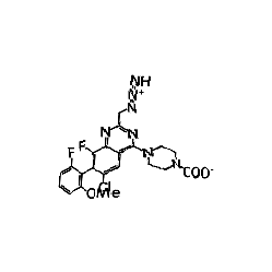 COc1cccc(F)c1-c1c(Cl)cc2c(N3CCN(C(=O)[O-])CC3)nc(CN=[N+]=N)nc2c1F